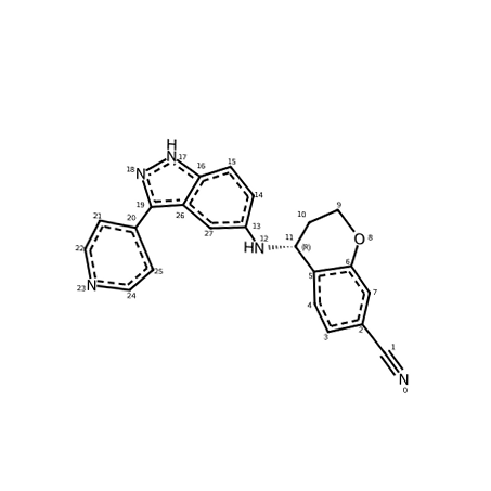 N#Cc1ccc2c(c1)OCC[C@H]2Nc1ccc2[nH]nc(-c3ccncc3)c2c1